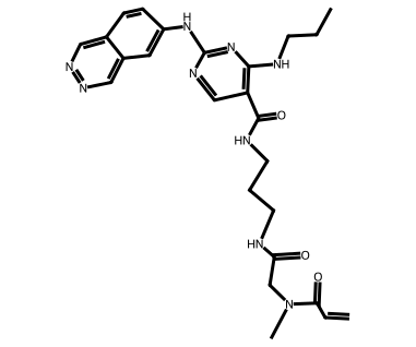 C=CC(=O)N(C)CC(=O)NCCCNC(=O)c1cnc(Nc2ccc3cnncc3c2)nc1NCCC